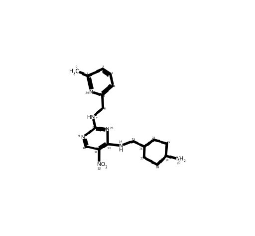 Cc1cccc(CNc2ncc([N+](=O)[O-])c(NCC3CCC(N)CC3)n2)n1